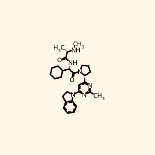 CN[C@@H](C)C(=O)N[C@H](C(=O)N1CCC[C@H]1c1cc(N2CCc3ccccc32)nc(C)n1)C1CCCCC1